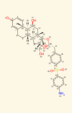 C[C@]12C=CC(=O)C=C1CC[C@@H]1[C@@H]2[C@@H](O)C[C@@]2(C)[C@H]1C[C@H]1O[C@@H](Cc3ccc(S(=O)(=O)c4ccc(N)cc4)cc3)O[C@]12C(=O)CO